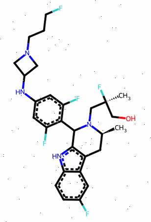 C[C@H]1Cc2c([nH]c3ccc(F)cc23)C(c2c(F)cc(NC3CN(CCCF)C3)cc2F)N1C[C@@](C)(F)CO